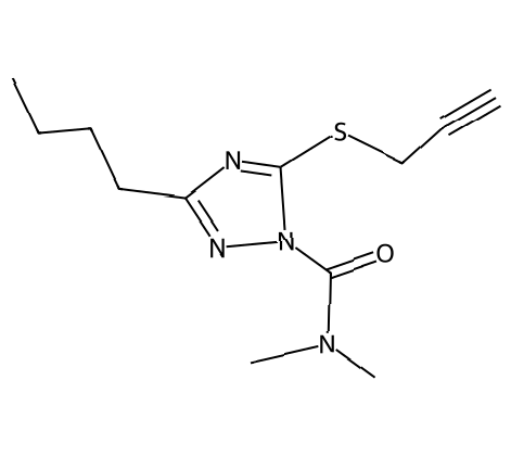 C#CCSc1nc(CCCC)nn1C(=O)N(C)C